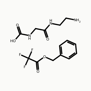 NCCNC(=O)CNC(=O)O.O=C(OCc1ccccc1)C(F)(F)F